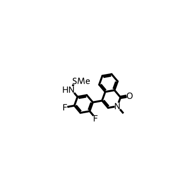 CSNc1cc(-c2cn(C)c(=O)c3ccccc23)c(F)cc1F